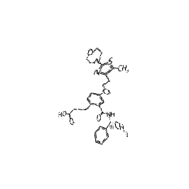 Cc1sc(N2CCOCC2)nc1CCOc1ccc(CCC(=O)O)c(C(=O)N[C@H](C)c2ccccc2)c1